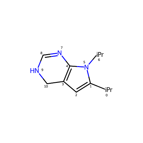 CC(C)c1cc2c(n1C(C)C)N=CNC2